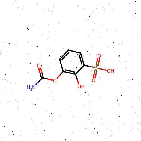 NC(=O)Oc1cccc(S(=O)(=O)O)c1O